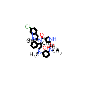 CCN[C@@](C=O)(Cc1ccc(Cl)cc1)N(C(=O)[C@@H]1CNC(=O)C1)[C@@](C)(c1ccccc1)[C@H](O)CN(C)c1cccc(N(C)C)c1